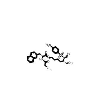 CC(C)CN([C@H](CO)CCCCNC(=O)[C@H](Cc1ccc2ccccc2c1)NC(=O)CC(F)(F)F)S(=O)(=O)c1ccc(N)cc1